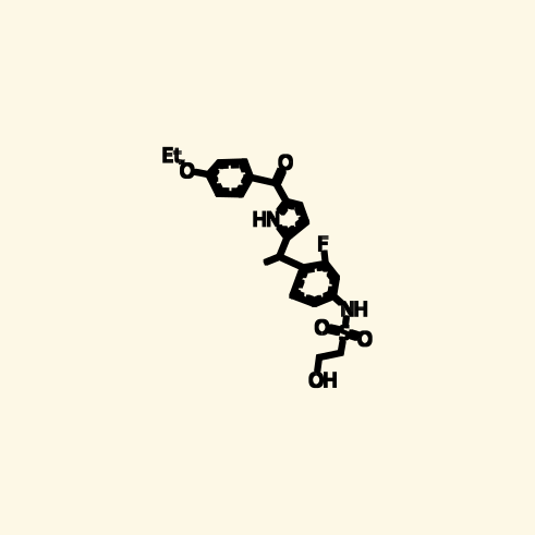 CCOc1ccc(C(=O)c2ccc(C(C)c3ccc(NS(=O)(=O)CCO)cc3F)[nH]2)cc1